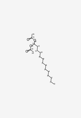 CCCCCCCCCCCCCC(OC(C)=O)OC(C)=O